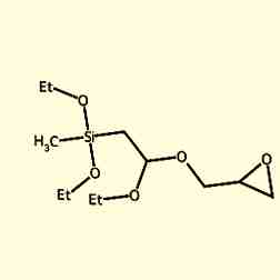 CCOC(C[Si](C)(OCC)OCC)OCC1CO1